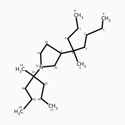 CCCCC(C)(CCC)C1CCN(C(C)(CCC)CCC)C1